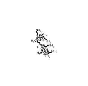 C[Si](C)(CCCN)O[Si](C)(C)O[Si](C)(C)CCCN.C[Si](C)(CCCN)O[Si](C)(CCCN)O[Si](C)(C)CCCN